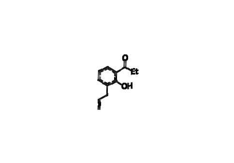 C=CCc1cccc(C(=O)CC)c1O